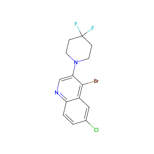 FC1(F)CCN(c2cnc3ccc(Cl)cc3c2Br)CC1